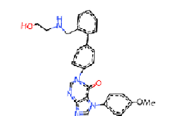 COc1ccc(-n2cnc3ncn(-c4ccc(-c5ccccc5CNCCO)cc4)c(=O)c32)cc1